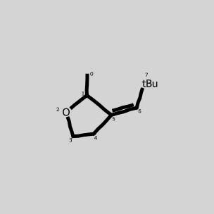 CC1OCC/C1=C/C(C)(C)C